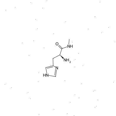 CNC(=O)[C@@H](N)Cc1c[nH]cn1